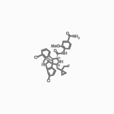 COc1cc(C(N)=O)ccc1NC(=O)[C@@H]1N[C@@H](CC2(CF)CC2)C2(C(=O)Nc3cc(Cl)ccc32)[C@H]1c1cccc(Cl)c1F